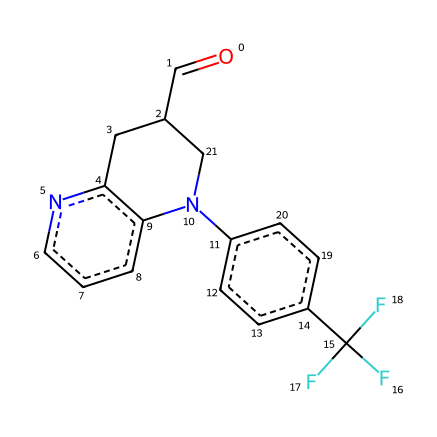 O=CC1Cc2ncccc2N(c2ccc(C(F)(F)F)cc2)C1